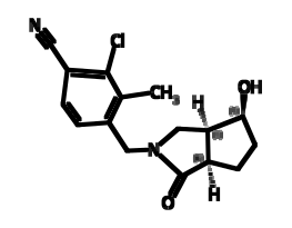 Cc1c(CN2C[C@H]3[C@@H](O)CC[C@H]3C2=O)ccc(C#N)c1Cl